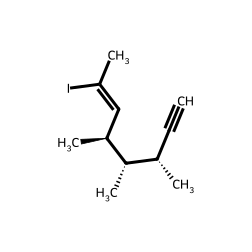 C#C[C@H](C)[C@H](C)[C@@H](C)/C=C(/C)I